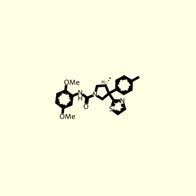 COc1ccc(OC)c(NC(=O)N2C[C@H](C)C(c3ccc(C)cc3)(c3nccs3)C2)c1